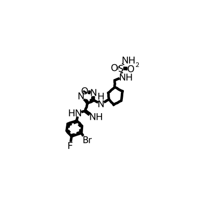 N=C(Nc1ccc(F)c(Br)c1)c1nonc1NC1CCCC(CNS(N)(=O)=O)C1